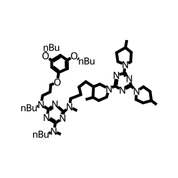 CCCCOc1cc(OCCCC)cc(OCCCN(CCCC)c2nc(N(C)CCCC)nc(N(C)CCCCC3CN(c4nc(N5CCC(C)CC5)nc(N5CCC(C)CC5)n4)CCC3C)n2)c1